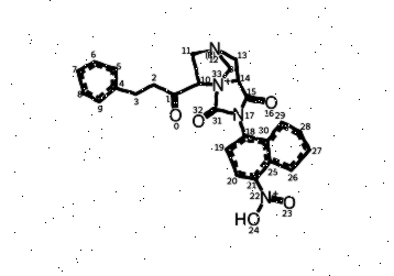 O=C(CCc1ccccc1)C1C[N@@]2CC3C(=O)N(c4ccc([N+](=O)O)c5ccccc45)C(=O)[N+]13C2